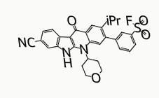 CC(C)c1cc2c(=O)c3c4ccc(C#N)cc4[nH]c3n(C3CCOCC3)c2cc1-c1cccc(S(=O)(=O)F)c1